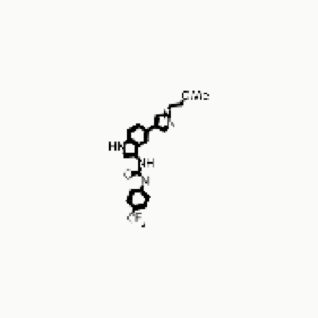 COCCn1cc(-c2ccc3[nH]cc(NC(=O)Nc4ccc(C(F)(F)F)cc4)c3c2)cn1